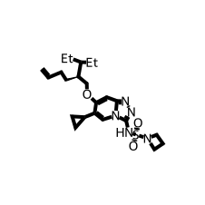 C=CCC[C@H](COc1cc2nnc(NS(=O)(=O)N3CCC3)n2cc1C1CC1)C(CC)CC